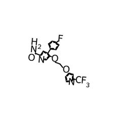 NC(=O)c1cc(-c2ccc(F)cc2)c(OCCCOc2ccnc(C(F)(F)F)c2)cn1